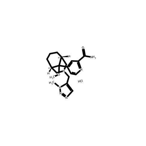 COC1(c2ccnc(C(N)=O)c2)[C@@H]2CCC[C@H]1CN(Cc1cnnn1C)C2.Cl